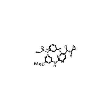 C=CC(=O)Nc1cccc(Oc2nc(Nc3cncc(OC)c3)ncc2C(=O)NC2CC2)c1